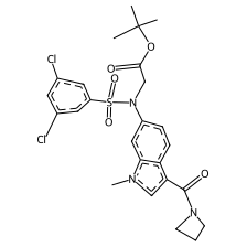 Cn1cc(C(=O)N2CCC2)c2ccc(N(CC(=O)OC(C)(C)C)S(=O)(=O)c3cc(Cl)cc(Cl)c3)cc21